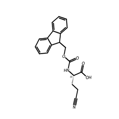 N#CCC[C@H](NC(=O)OCC1c2ccccc2-c2ccccc21)C(=O)O